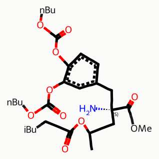 CCCCOC(=O)Oc1ccc(C[C@](N)(CC(C)OC(=O)CC(C)CC)C(=O)OC)cc1OC(=O)OCCCC